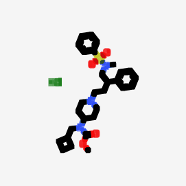 COC(=O)N(CC1CCC1)C1CCN(CCC(CN(C)S(=O)(=O)c2ccccc2)c2ccccc2)CC1.Cl